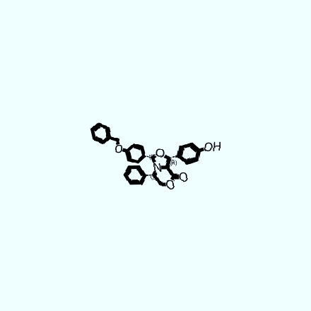 O=C1OC[C@H](c2ccccc2)N2C1[C@@H](c1ccc(O)cc1)O[C@H]2C1C=CC(OCc2ccccc2)=CC1